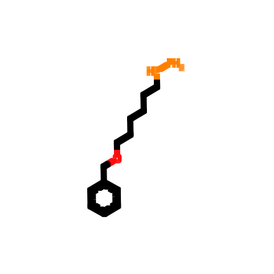 PPCCCCCCOCc1ccccc1